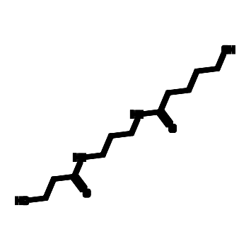 O=C(CCO)NCCCNC(=O)CCCCO